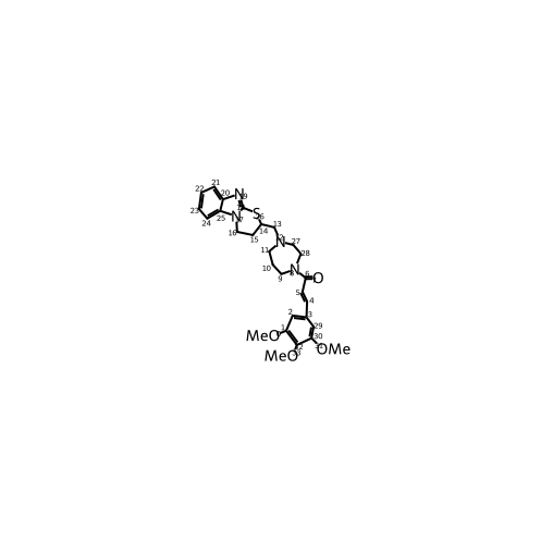 COc1cc(C=CC(=O)N2CCCN(CC3CCn4c(nc5ccccc54)S3)CC2)cc(OC)c1OC